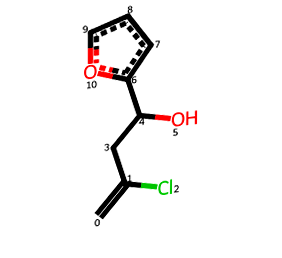 C=C(Cl)CC(O)c1ccco1